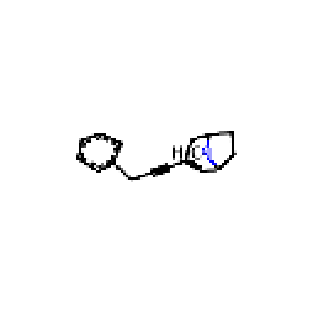 CN1C2C=C(C#CCc3ccccc3)CC1CC2